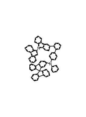 c1ccc(N(c2ccc(-c3ccccc3-c3ccc4c(c3)c3ccccc3n4-c3cc4ccccc4c4ccccc34)cc2)c2ccc3c(c2)C2(c4ccccc4-c4ccccc42)c2ccccc2-3)cc1